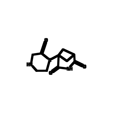 O=C1NC(=O)C2(N3CCNCC3=O)CC1C2